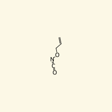 C=CCON=C=O